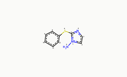 Nn1ccnc1Sc1ccccc1